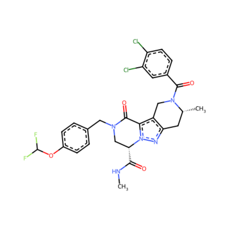 CNC(=O)[C@@H]1CN(Cc2ccc(OC(F)F)cc2)C(=O)c2c3c(nn21)C[C@@H](C)N(C(=O)c1ccc(Cl)c(Cl)c1)C3